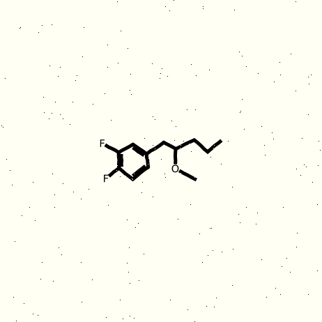 CCCC(Cc1ccc(F)c(F)c1)OC